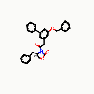 O=C(Cc1cc(OCc2ccccc2)cc(-c2ccccc2)c1)N1C(=O)OC[C@H]1Cc1ccccc1